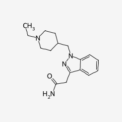 CCN1CCC(Cn2nc(CC(N)=O)c3ccccc32)CC1